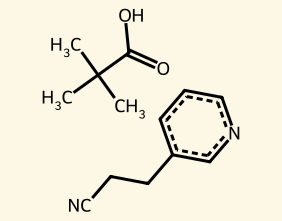 CC(C)(C)C(=O)O.N#CCCc1cccnc1